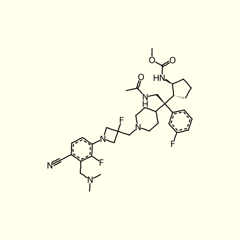 COC(=O)N[C@H]1CCC[C@@H]1[C@](CNC(C)=O)(c1cccc(F)c1)C1CCN(CC2(F)CN(c3ccc(C#N)c(CN(C)C)c3F)C2)CC1